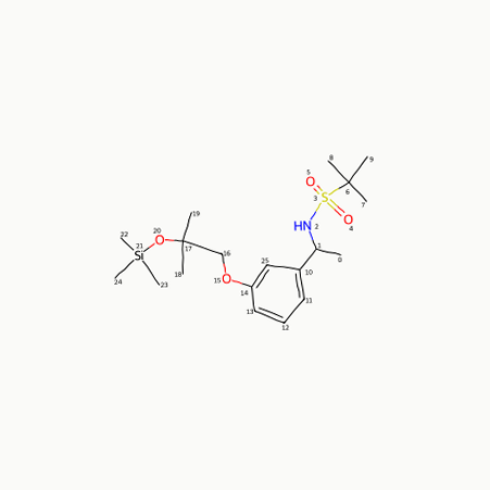 CC(NS(=O)(=O)C(C)(C)C)c1cccc(OCC(C)(C)O[Si](C)(C)C)c1